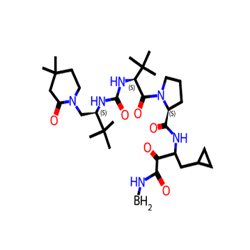 BNC(=O)C(=O)C(CC1CC1)NC(=O)[C@@H]1CCCN1C(=O)[C@@H](NC(=O)N[C@H](CN1CCC(C)(C)CC1=O)C(C)(C)C)C(C)(C)C